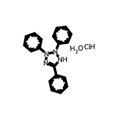 Cl.O.c1ccc(C2=NN(c3ccccc3)N(c3ccccc3)N2)cc1